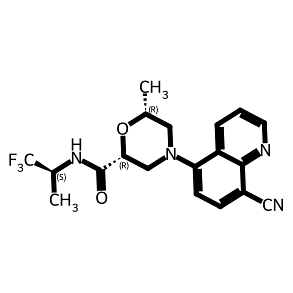 C[C@@H]1CN(c2ccc(C#N)c3ncccc23)C[C@H](C(=O)N[C@@H](C)C(F)(F)F)O1